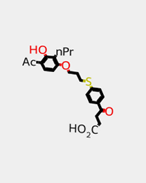 CCCc1c(OCCCSc2ccc(C(=O)CCC(=O)O)cc2)ccc(C(C)=O)c1O